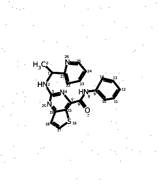 CC(Nc1nc(C(=O)Nc2ccccc2)c2sccc2n1)c1ccccn1